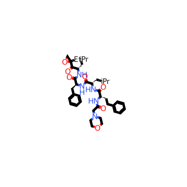 CCC1(C(=O)[C@H](CC(C)C)NC(=O)[C@H](Cc2ccccc2)NC(=O)[C@H](CC(C)C)NC(=O)[C@H](CCc2ccccc2)NC(=O)CN2CCOCC2)CO1